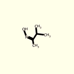 CC(=NO)C(C)C